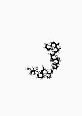 C=C1C[C@@H]2OC3(CC[C@H](/C=C/[C@@H](C)[C@@H]4CC(C)=CC5(O[C@H](C[C@@](C)(O)C(=O)O)CC[C@H]5O)O4)O3)CC[C@H]2O[C@@H]1[C@@H](O)C[C@H](C)[C@H]1O[C@@]2(CCCCO2)CCC1C